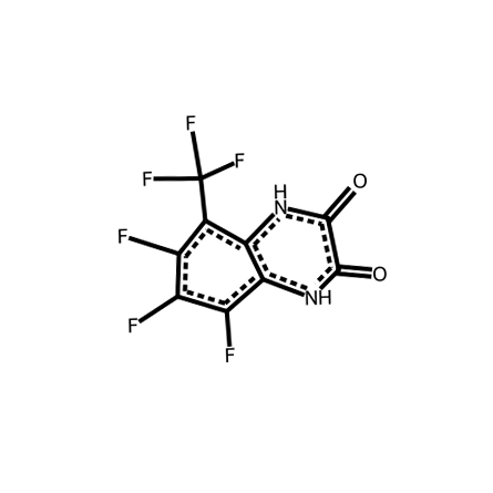 O=c1[nH]c2c(F)c(F)c(F)c(C(F)(F)F)c2[nH]c1=O